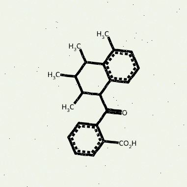 Cc1cccc2c1C(C)C(C)C(C)C2C(=O)c1ccccc1C(=O)O